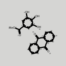 COC(=O)c1cc(O)c(O)c(O)c1.O=C1c2ccccc2C(=O)c2ccccc21